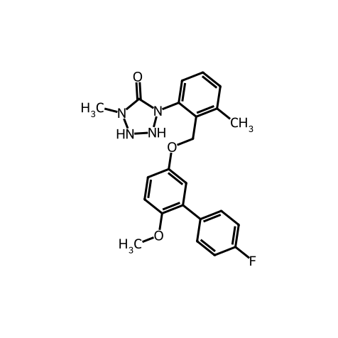 COc1ccc(OCc2c(C)cccc2N2NNN(C)C2=O)cc1-c1ccc(F)cc1